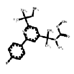 CC(C)(C)OC(=O)N(N)C(C)(C)c1cc(-c2ccc(F)cc2)nc(C(N)(CN)C(F)(F)F)c1